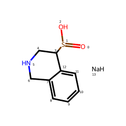 O=S(O)C1CNCc2ccccc21.[NaH]